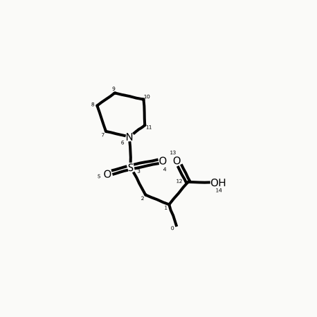 CC(CS(=O)(=O)N1CCCCC1)C(=O)O